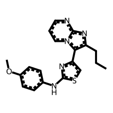 CCCc1nc2ncccn2c1-c1csc(Nc2ccc(OC)cc2)n1